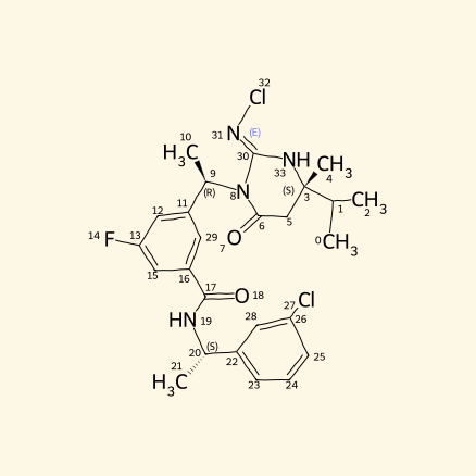 CC(C)[C@]1(C)CC(=O)N([C@H](C)c2cc(F)cc(C(=O)N[C@@H](C)c3cccc(Cl)c3)c2)/C(=N/Cl)N1